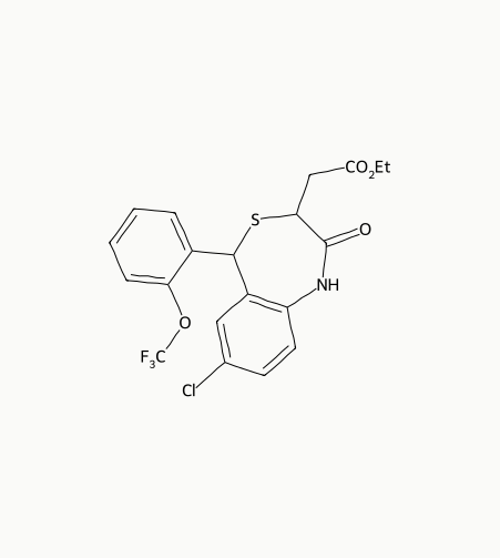 CCOC(=O)CC1SC(c2ccccc2OC(F)(F)F)c2cc(Cl)ccc2NC1=O